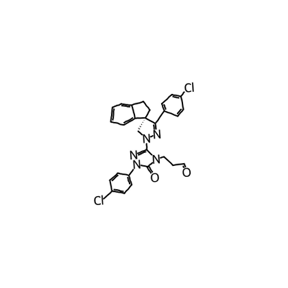 O=CCCn1c(N2C[C@]3(CCc4ccccc43)C(c3ccc(Cl)cc3)=N2)nn(-c2ccc(Cl)cc2)c1=O